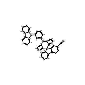 N#Cc1ccc2c(c1)C1(c3ccccc3-2)c2ccccc2N(c2cccc(-n3c4ccccc4c4cnccc43)n2)c2ccccc21